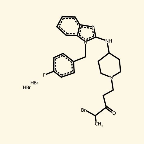 Br.Br.CC(Br)C(=O)CCN1CCC(Nc2nc3ccccc3n2Cc2ccc(F)cc2)CC1